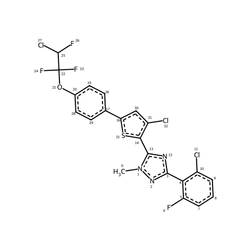 Cn1nc(-c2c(F)cccc2Cl)nc1-c1sc(-c2ccc(OC(F)(F)C(F)Cl)cc2)cc1Cl